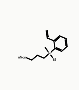 C=Cc1ccccc1[N+](C)(CC)CCCCCCCCCCCC